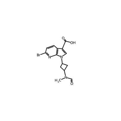 CN(C=O)C1CC(n2cc(C(=O)O)c3ccc(Br)nc32)C1